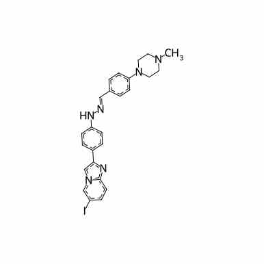 CN1CCN(c2ccc(/C=N/Nc3ccc(-c4cn5cc(I)ccc5n4)cc3)cc2)CC1